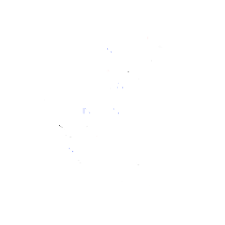 CCC[C@H](N[C@H]1CCc2cc(F)cc(F)c2C1)C(=O)Nc1cn(C2(C)C(=O)NCc3oc(C)cc32)cn1